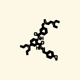 CCCN(CCC)c1ccc(NC(=O)c2cccc(CN(C)CCN(CC)CC)c2)c(C(=O)NN=Cc2ccc(OC)cc2)c1